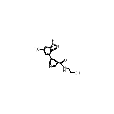 O=C(NCCO)c1cncc(-c2cc(C(F)(F)F)cc3[nH]ncc23)c1